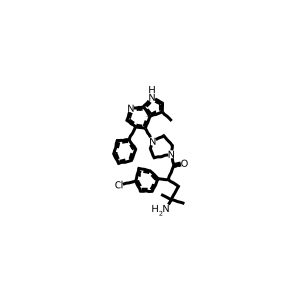 Cc1c[nH]c2ncc(-c3ccccc3)c(N3CCN(C(=O)C(CC(C)(C)N)c4ccc(Cl)cc4)CC3)c12